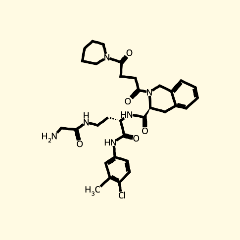 Cc1cc(NC(=O)[C@H](CCNC(=O)CN)NC(=O)[C@@H]2Cc3ccccc3CN2C(=O)CCC(=O)N2CCCCC2)ccc1Cl